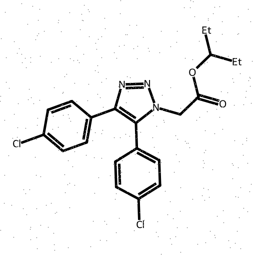 CCC(CC)OC(=O)Cn1nnc(-c2ccc(Cl)cc2)c1-c1ccc(Cl)cc1